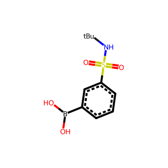 CC(C)(C)NS(=O)(=O)c1cccc(B(O)O)c1